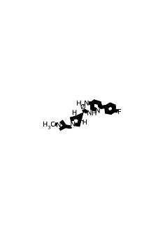 CN1CC(CN2C[C@@H]3[C@H](C2)[C@H]3C(=O)Nc2nc(-c3ccc(F)cc3)ccc2N)C1